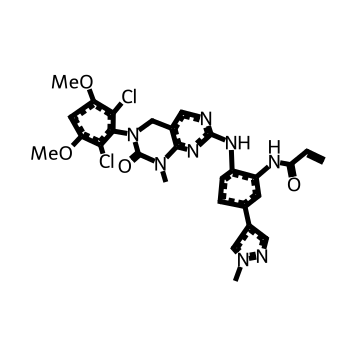 C=CC(=O)Nc1cc(-c2cnn(C)c2)ccc1Nc1ncc2c(n1)N(C)C(=O)N(c1c(Cl)c(OC)cc(OC)c1Cl)C2